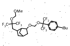 CCC(C)c1ccc(C(OCOC2CC3CC(CC(OCOC)(C(F)(F)F)C(F)(F)F)C2C3)(C(F)(F)F)C(F)(F)F)cc1